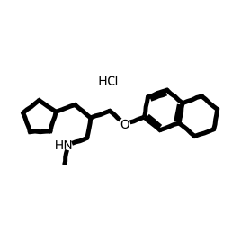 CNCC(COc1ccc2c(c1)CCCC2)CC1CCCC1.Cl